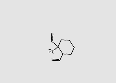 [CH2]CC1(C=C)CCCCC1C=C